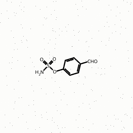 NS(=O)(=O)Oc1ccc(C=O)cc1